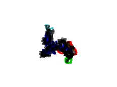 CS(=O)(=O)Nc1ccc(Cl)cc1C(=O)N1CCCC[C@H]1c1cc2nc(N3CCC3)cc(N3CCN(CC(F)F)CC3)n2n1